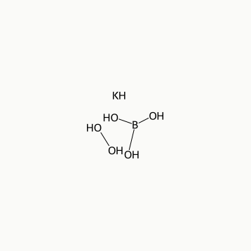 OB(O)O.OO.[KH]